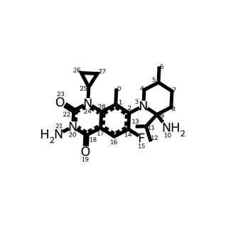 Cc1c(N2CC(C)CCC2(N)C(C)C)c(F)cc2c(=O)n(N)c(=O)n(C3CC3)c12